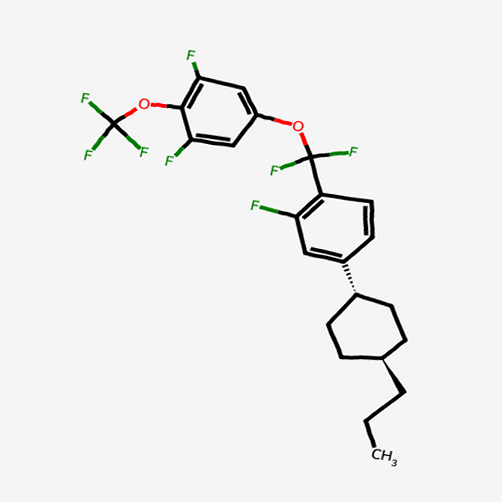 CCC[C@H]1CC[C@H](c2ccc(C(F)(F)Oc3cc(F)c(OC(F)(F)F)c(F)c3)c(F)c2)CC1